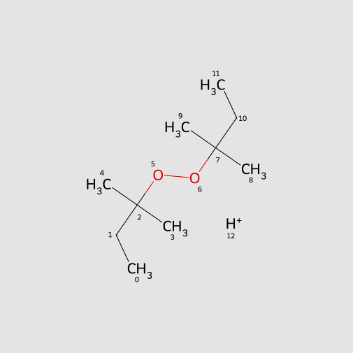 CCC(C)(C)OOC(C)(C)CC.[H+]